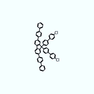 Clc1ccc(-c2ccc(C3(c4ccc(-c5ccc(Cl)cc5)cc4)c4cc(-c5ccc(-c6ccccc6)cc5)ccc4-c4ccc(-c5ccc(-c6ccccc6)cc5)cc43)cc2)cc1